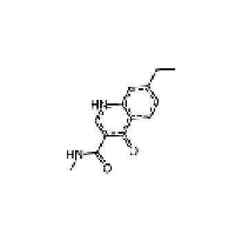 CCc1ccc2c(=O)c(C(=O)NC)c[nH]c2c1